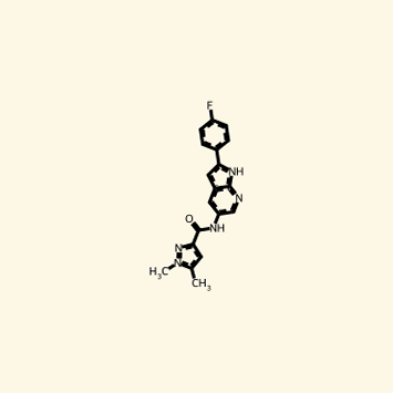 Cc1cc(C(=O)Nc2cnc3[nH]c(-c4ccc(F)cc4)cc3c2)nn1C